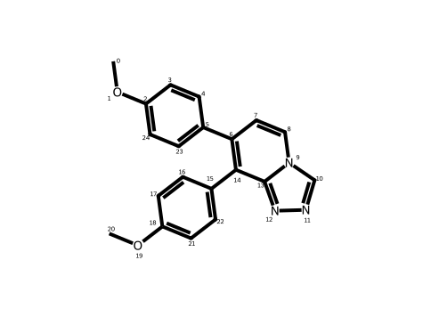 COc1ccc(-c2ccn3cnnc3c2-c2ccc(OC)cc2)cc1